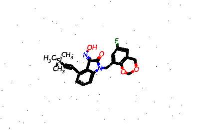 C[Si](C)(C)C#Cc1cccc2c1/C(=N/O)C(=O)N2Cc1cc(F)cc2c1OCOC2